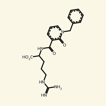 N=C(N)NCCCC(NC(=O)c1cccn(Cc2ccccc2)c1=O)C(=O)O